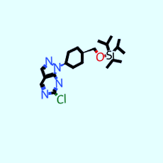 CC(C)[Si](OC[C@H]1CC[C@@H](n2ncc3cnc(Cl)nc32)CC1)(C(C)C)C(C)C